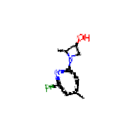 Cc1cc(F)nc(N2CC(O)C2C)c1